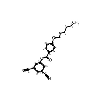 CCCCCCOc1ccc(C(=O)Oc2cc(C#N)cc(C#N)c2)cc1